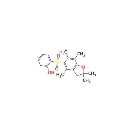 Cc1c(C)c(S(=O)(=O)c2ccccc2O)c(C)c2c1OC(C)(C)C2